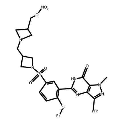 CCCc1nn(C)c2c(=O)[nH]c(-c3cc(S(=O)(=O)N4CC(CN5CC(CO[N+](=O)[O-])C5)C4)ccc3OCC)nc12